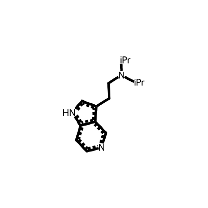 CC(C)N(CCc1c[nH]c2ccncc12)C(C)C